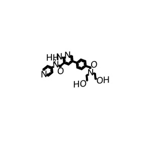 Nc1ncc(-c2ccc(C(=O)N(CCO)CCO)cc2)cc1C(=O)Nc1ccncc1